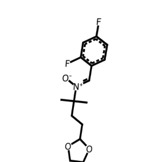 CC(C)(CCC1OCCO1)[N+]([O-])=Cc1ccc(F)cc1F